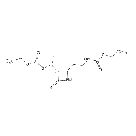 C=CCOC(=O)NCC[C]1NC(=O)[C@@H]1C(C)OC(=O)OCC(Cl)(Cl)Cl